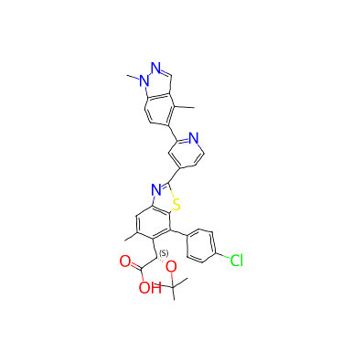 Cc1cc2nc(-c3ccnc(-c4ccc5c(cnn5C)c4C)c3)sc2c(-c2ccc(Cl)cc2)c1[C@H](OC(C)(C)C)C(=O)O